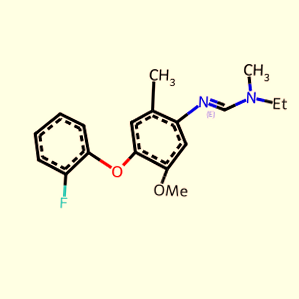 CCN(C)/C=N/c1cc(OC)c(Oc2ccccc2F)cc1C